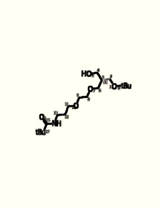 CC(C)(C)OC[C@@H](CO)COCCOCCCNC(=O)C(C)(C)C